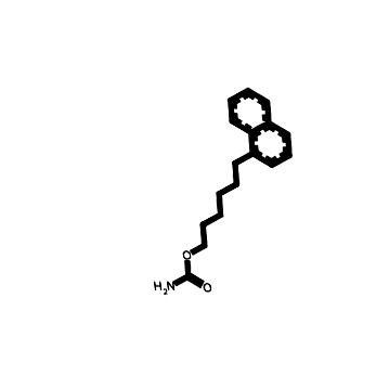 NC(=O)OCCCCCCc1cccc2ccccc12